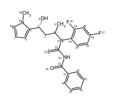 CC(C[C@@H](O)c1ccnn1C)N(C(=S)NC(=O)c1ccccc1)c1ccc(F)cc1F